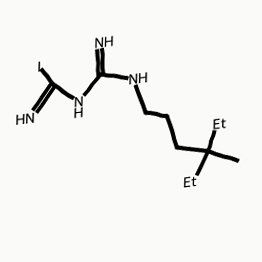 CCC(C)(CC)CCCNC(=N)NC(=N)I